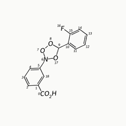 O=C(O)c1cccc(N2OOC(c3ccccc3F)O2)c1